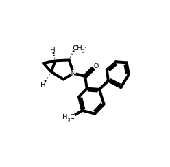 [CH2][C@H]1[C@@H]2C[C@@H]2CN1C(=O)c1cc(C)ccc1-c1ccccc1